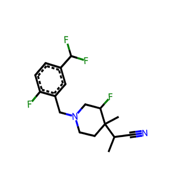 CC(C#N)C1(C)CCN(Cc2cc(C(F)F)ccc2F)CC1F